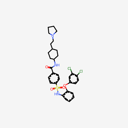 O=C(NC1CCC(CCN2CCCC2)CC1)c1ccc(S(=O)(=O)Nc2ccccc2Oc2ccc(Cl)c(Cl)c2)cc1